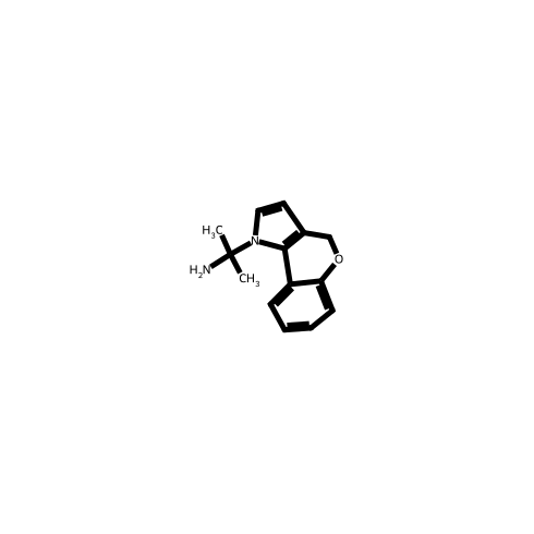 CC(C)(N)n1ccc2c1-c1ccccc1OC2